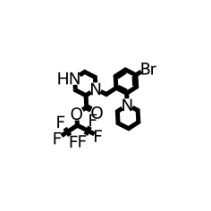 O=C(OC(C(F)(F)F)C(F)(F)F)C1CNCCN1Cc1ccc(Br)cc1N1CCCCC1